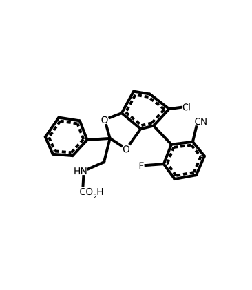 N#Cc1cccc(F)c1-c1c(Cl)ccc2c1OC(CNC(=O)O)(c1ccccc1)O2